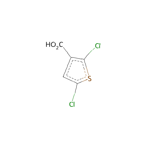 O=C(O)c1cc(Cl)sc1Cl